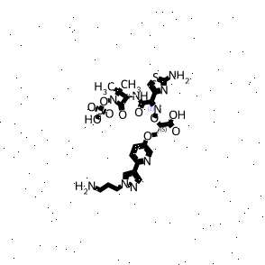 CC1(C)[C@H](NC(=O)/C(=N\O[C@@H](COc2ccc(-c3cnn(CCCN)c3)nc2)C(=O)O)c2csc(N)n2)C(=O)N1OS(=O)(=O)O